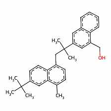 Cc1ccc(CC(C)(C)c2cc(CO)c3ccccc3c2)c2ccc(C(C)(C)C)cc12